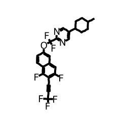 CC1CCC(c2cnc(C(F)(F)Oc3ccc4c(F)c(C#CC(F)(F)F)c(F)cc4c3)nc2)CC1